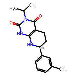 Cc1cccc([C@@H]2CCc3c([nH]c(=O)n(C(C)C)c3=O)N2)c1